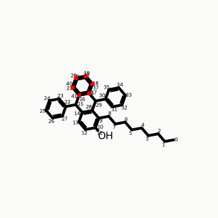 CCCCCCCCCc1c(O)ccc(C(c2ccccc2)c2ccccc2)c1C(c1ccccc1)c1ccccc1